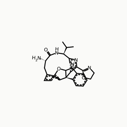 CC(C)[C@@H]1NC(=O)[C@@H](N)Cc2ccc3c(c2)[C@@]2(c4ccccc4NC2O3)c2oc1nc2C1=NCCO1